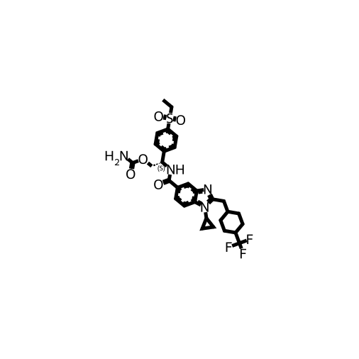 CCS(=O)(=O)c1ccc([C@@H](COC(N)=O)NC(=O)c2ccc3c(c2)nc(CC2CCC(C(F)(F)F)CC2)n3C2CC2)cc1